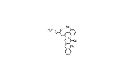 CCOC(=O)CN(CCN(CC(=O)O)Cc1ccccc1O)Cc1ccccc1O